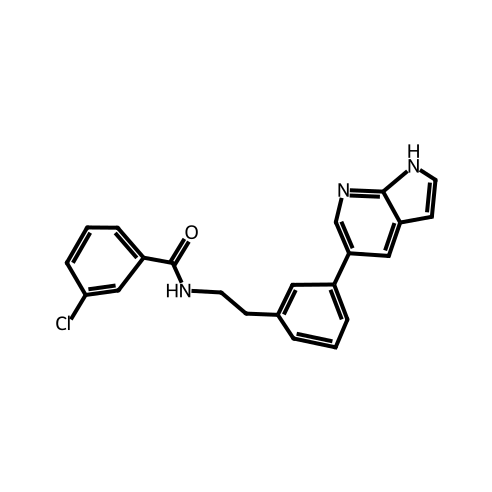 O=C(NCCc1cccc(-c2cnc3[nH]ccc3c2)c1)c1cccc(Cl)c1